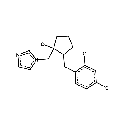 OC1(Cn2ccnc2)CCCC1Cc1ccc(Cl)cc1Cl